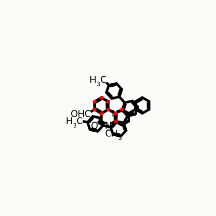 Cc1ccc(-c2cccc3c4cccc(-c5ccc(C)cc5)c4n(-c4cccc(C=O)c4C(=O)N(C)c4ccc(-c5ccccc5)cc4-c4ccccc4)c23)cc1